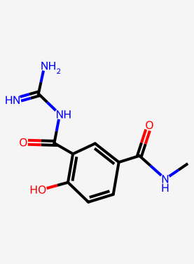 CNC(=O)c1ccc(O)c(C(=O)NC(=N)N)c1